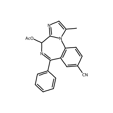 CC(=O)OC1N=C(c2ccccc2)c2cc(C#N)ccc2-n2c(C)cnc21